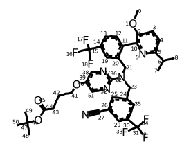 COc1ccc(C(C)C)nc1-c1ccc(C(F)(F)F)cc1CN(Cc1cc(C#N)cc(C(F)(F)F)c1)c1ncc(OCCCC(=O)OC(C)(C)C)cn1